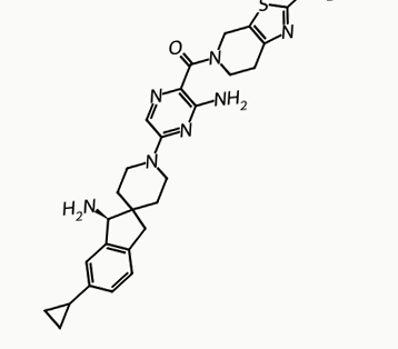 Nc1nc2c(s1)CN(C(=O)c1ncc(N3CCC4(CC3)Cc3ccc(C5CC5)cc3[C@H]4N)nc1N)CC2